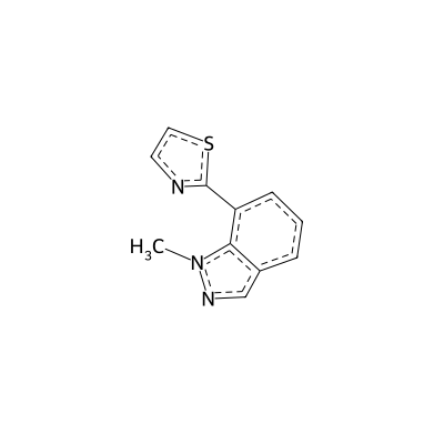 Cn1ncc2cccc(-c3nccs3)c21